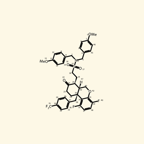 COc1ccc(CN(Cc2ccc(OC)cc2)S(=O)(=O)CC[C@@H]2C(=O)CC[C@@]3(Cc4ccc(C(F)(F)F)cc4)c4c(F)ccc(F)c4OC[C@@H]23)cc1